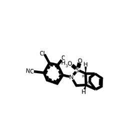 Cc1c(N2C[C@H]3C4C=CC(CC4)[C@H]3S2(=O)=O)ccc(C#N)c1Cl